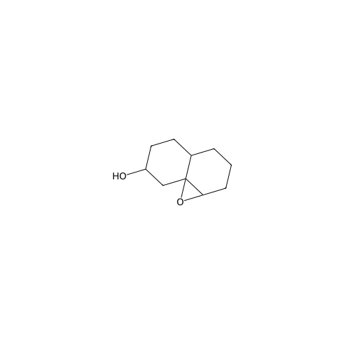 OC1CCC2CCCC3OC23C1